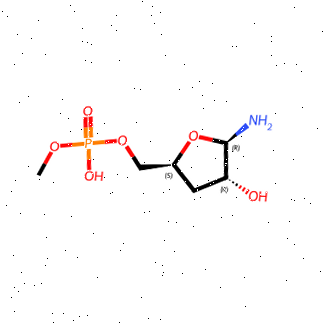 COP(=O)(O)OC[C@@H]1C[C@@H](O)[C@H](N)O1